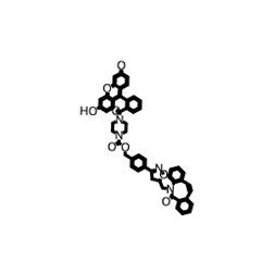 O=C(OCc1ccc(C2=NOC(CN3C(=O)c4ccccc4C#Cc4ccccc43)C2)cc1)N1CCN(C(=O)c2ccccc2-c2c3ccc(=O)cc-3oc3cc(O)ccc23)CC1